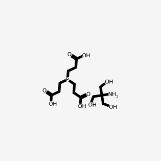 NC(CO)(CO)CO.O=C(O)CCP(CCC(=O)O)CCC(=O)O